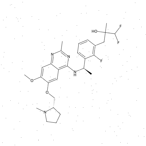 COc1cc2nc(C)nc(N[C@H](C)c3cccc(CC(C)(O)C(F)F)c3F)c2cc1OC[C@@H]1CCCN1C